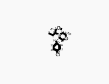 CCC([C@H](C)OC)N1C[C@H](C)OC[C@@H]1Cc1ccc(Cl)cc1